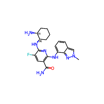 Cn1cc2cccc(Nc3nc(N[C@@H]4CCCC[C@@H]4N)c(F)cc3C(N)=O)c2n1